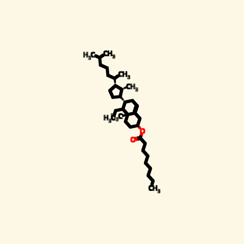 CCCCCCCCC(=O)O[C@H]1CC[C@@]2(C)C(=CC[C@@H](C3CC[C@H](C(C)CCCC(C)C)[C@@H]3C)C2CC)C1